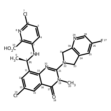 C[C@@H](Nc1ccc(Cl)nc1C(=O)O)c1cc(Cl)cc2c(=O)n(C)c(N3Cc4cc(F)cnc4C3)nc12